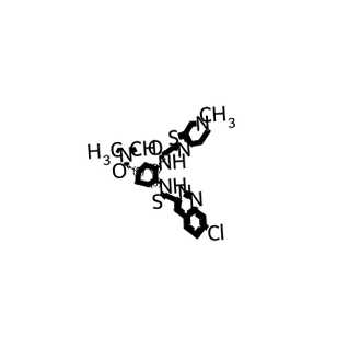 CN1CCc2nc(C(=O)N[C@@H]3C[C@@H](C(=O)N(C)C)CC[C@@H]3NC(=S)c3cc4ccc(Cl)cc4nn3)sc2C1